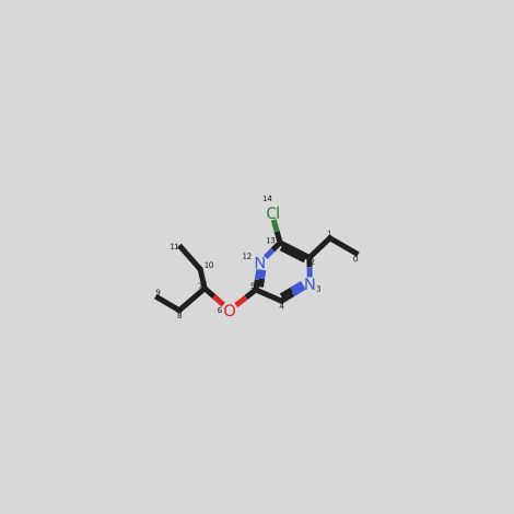 CCc1ncc(OC(CC)CC)nc1Cl